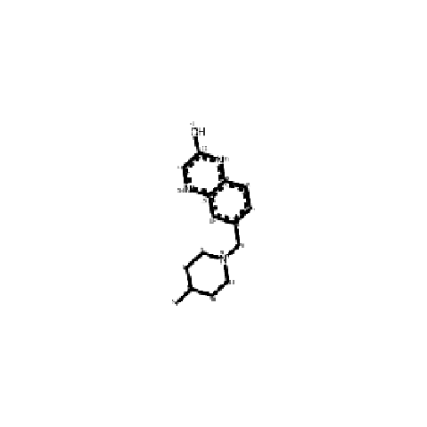 CC1CCN(Cc2ccc3nc(O)cnc3c2)CC1